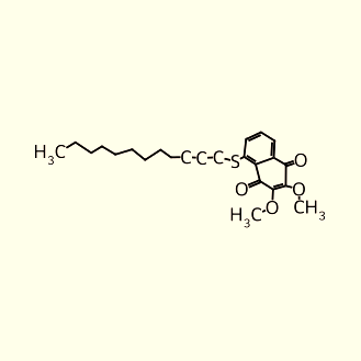 CCCCCCCCCCCCSc1cccc2c1C(=O)C(OC)=C(OC)C2=O